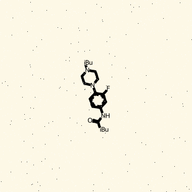 CCC(C)C(=O)Nc1ccc(N2CCN(C(C)CC)CC2)c(F)c1